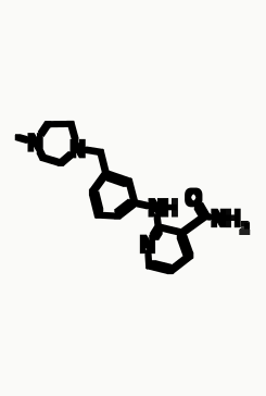 CN1CCN(Cc2cccc(Nc3ncccc3C(N)=O)c2)CC1